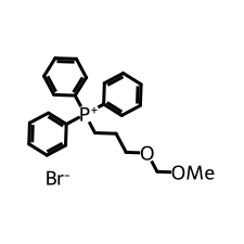 COCOCCC[P+](c1ccccc1)(c1ccccc1)c1ccccc1.[Br-]